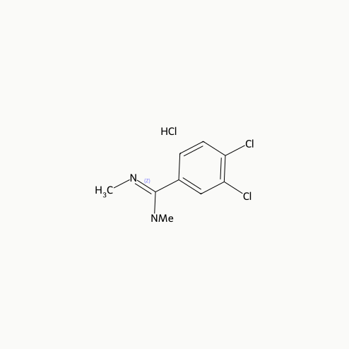 C/N=C(\NC)c1ccc(Cl)c(Cl)c1.Cl